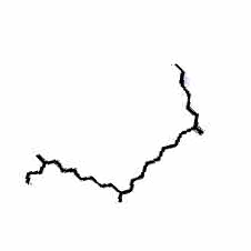 [CH2]/C=C/CCCC(C)CCCCCCCCC(C)CCCCCCCC(C)CC[CH2]